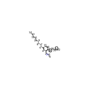 C/C=C/c1cc(CCCCCCCCC)ccc1OCCOC